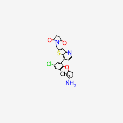 Cc1cc(Cl)cc(-c2ccnc3cc(CN4C(=O)CCC4=O)sc23)c1O[C@H]1CC[C@H](N)C1